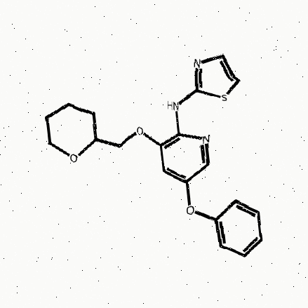 c1ccc(Oc2cnc(Nc3nccs3)c(OCC3CCCCO3)c2)cc1